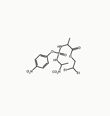 CCC(CC)COC(=O)C(C)NP(=O)(NC(C)C(=O)O)Oc1ccc([N+](=O)[O-])cc1